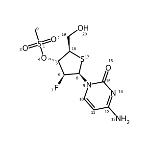 CS(=O)(=O)O[C@H]1[C@H](F)[C@H](n2ccc(N)nc2=O)S[C@@H]1CO